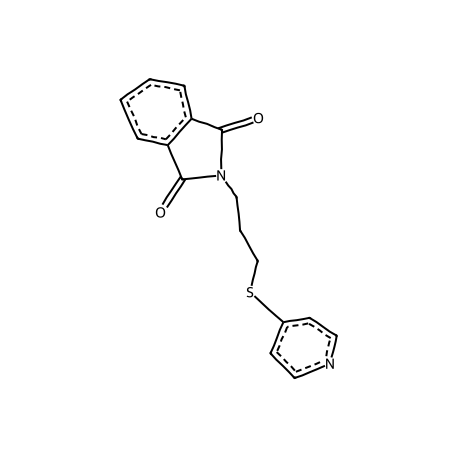 O=C1c2ccccc2C(=O)N1CCCSc1ccncc1